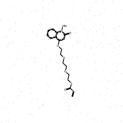 C=CC(=O)SCCOCCOCCOc1cc(=O)n(CCCC)c2ccccc12